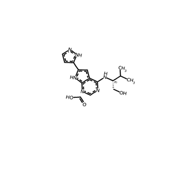 CC(C)[C@H](CO)Nc1ncnc2[nH]c(-c3ccn[nH]3)cc12.O=CO